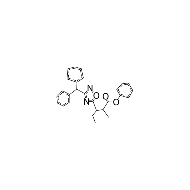 CCC(c1nc(C(c2ccccc2)c2ccccc2)no1)C(C)C(=O)Oc1ccccc1